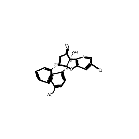 N#Cc1ccc([C@@]23Oc4cc(Cl)cnc4[C@]2(O)C(=O)C[C@H]3c2ccccc2)cc1